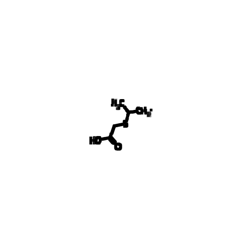 [CH2]C(C)SCC(=O)O